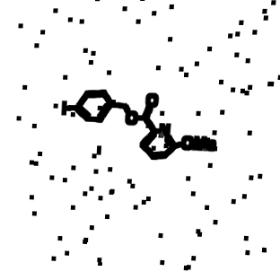 COc1cccc(C(=O)OCc2ccc(I)cc2)n1